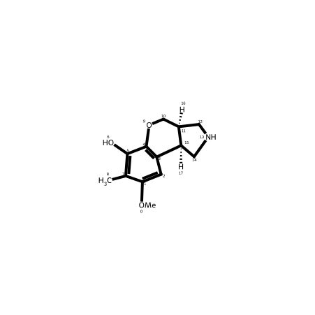 COc1cc2c(c(O)c1C)OC[C@H]1CNC[C@@H]21